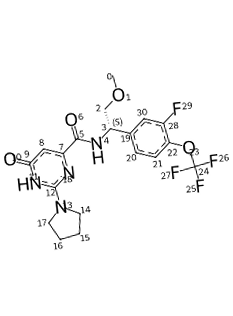 COC[C@@H](NC(=O)c1cc(=O)[nH]c(N2CCCC2)n1)c1ccc(OC(F)(F)F)c(F)c1